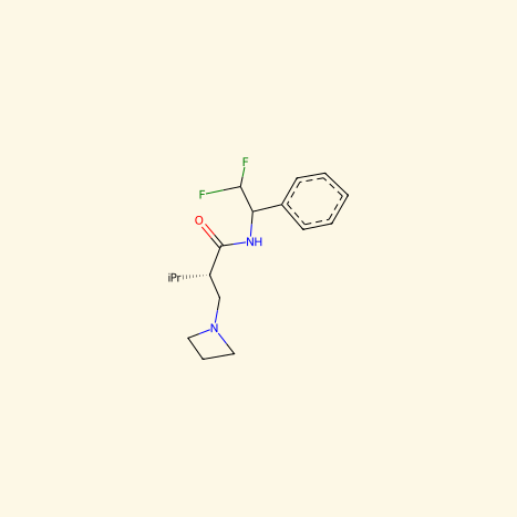 CC(C)[C@@H](CN1CCC1)C(=O)NC(c1ccccc1)C(F)F